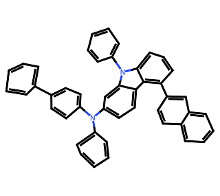 c1ccc(-c2ccc(N(c3ccccc3)c3ccc4c5c(-c6ccc7ccccc7c6)cccc5n(-c5ccccc5)c4c3)cc2)cc1